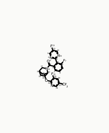 O=C(c1cccc(F)c1-c1ncc(F)cn1)N1CC2CCC1C(Oc1ncc(C(F)(F)F)cc1F)C2